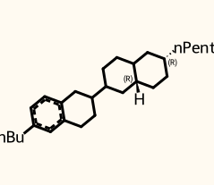 CCCCC[C@@H]1CC[C@@H]2CC(C3CCc4cc(CCCC)ccc4C3)CCC2C1